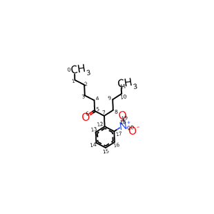 CCCCCC(=O)C(CCCC)c1ccccc1[N+](=O)[O-]